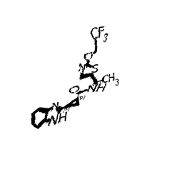 C[C@H](NC(=O)[C@@H]1C[C@H]1c1nc2ccccc2[nH]1)c1cnc(OCC(F)(F)F)s1